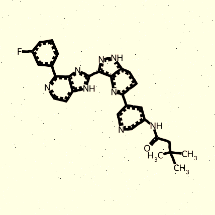 CC(C)(C)CC(=O)Nc1cncc(-c2ccc3[nH]nc(-c4nc5c(-c6cccc(F)c6)nccc5[nH]4)c3n2)c1